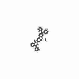 CC1C=c2c(nc3c4ccccc4c(-c4ccccc4)cn23)=CC1c1ccc(N(c2ccccc2)c2ccccc2)cc1